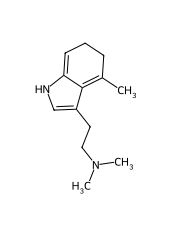 CC1=c2c(CCN(C)C)c[nH]c2=CCC1